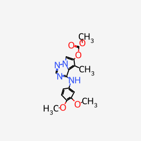 COC(=O)Oc1cn2ncnc(Nc3ccc(OC)c(OC)c3)c2c1C